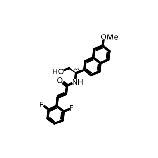 COc1ccc2ccc([C@H](CO)NC(=O)C=Cc3c(F)cccc3F)cc2c1